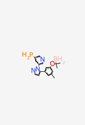 BC(C)(C)Oc1cc(C)cc(-c2ccnn2-c2cncc(P)c2)c1